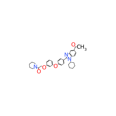 CC(=O)c1ccc2c(c1)nc(-c1ccc(Oc3cccc(OCC(=O)N4CCCCC4)c3)cc1)n2C1CCCCC1